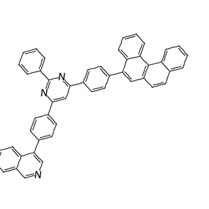 c1ccc(-c2nc(-c3ccc(-c4cncc5ccccc45)cc3)cc(-c3ccc(-c4cc5ccc6ccccc6c5c5ccccc45)cc3)n2)cc1